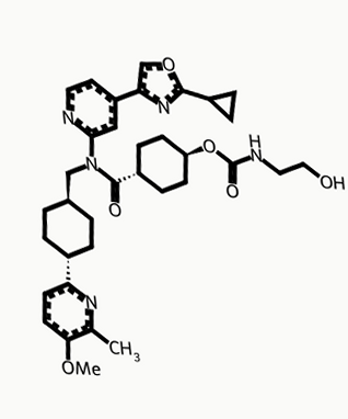 COc1ccc([C@H]2CC[C@H](CN(c3cc(-c4coc(C5CC5)n4)ccn3)C(=O)[C@H]3CC[C@H](OC(=O)NCCO)CC3)CC2)nc1C